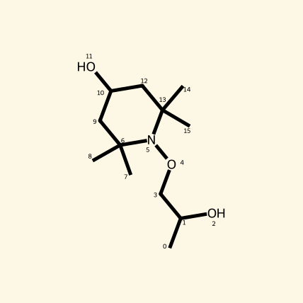 CC(O)CON1C(C)(C)CC(O)CC1(C)C